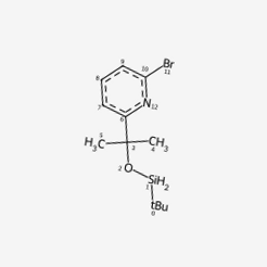 CC(C)(C)[SiH2]OC(C)(C)c1cccc(Br)n1